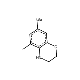 Cc1cc(C(C)(C)C)cc2c1NCCO2